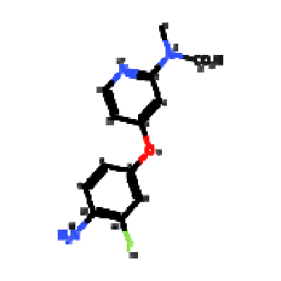 CN(C(=O)O)c1cc(Oc2ccc(N)c(F)c2)ccn1